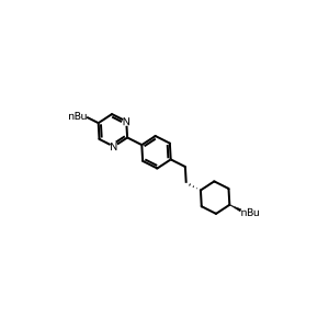 CCCCc1cnc(-c2ccc(CC[C@H]3CC[C@H](CCCC)CC3)cc2)nc1